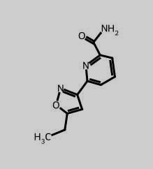 CCc1cc(-c2cccc(C(N)=O)n2)no1